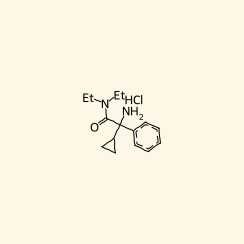 CCN(CC)C(=O)C(N)(c1ccccc1)C1CC1.Cl